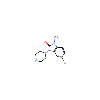 Cn1c(=O)n(C2CCNCC2)c2cc(Cl)ccc21